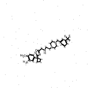 Cc1ccc(C2(c3noc(CNCCN4CCN(Cc5cccc(C(F)(F)F)c5)CC4)n3)CCC2)cc1C